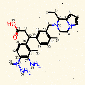 CCC1c2cccn2CCN1Cc1cc(C(CC(=O)O)c2ccc(N(C)N)c(N)c2C)ccc1C